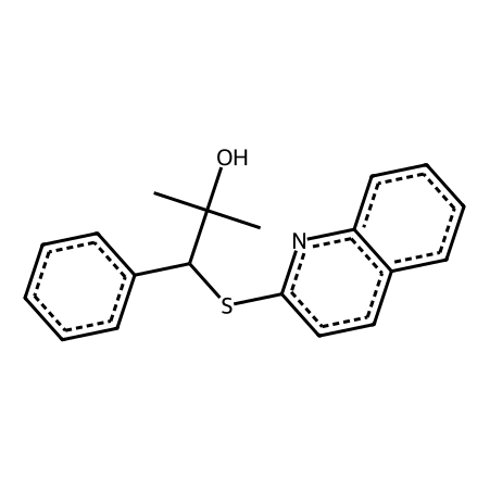 CC(C)(O)C(Sc1ccc2ccccc2n1)c1ccccc1